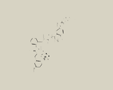 COC(=O)Nc1ccc2onc(NC(=O)CCc3ccccc3NC(=O)C=Cc3cc(Cl)ccc3-n3cnnn3)c2c1